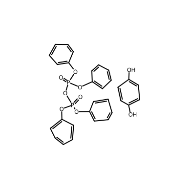 O=P(Oc1ccccc1)(Oc1ccccc1)OP(=O)(Oc1ccccc1)Oc1ccccc1.Oc1ccc(O)cc1